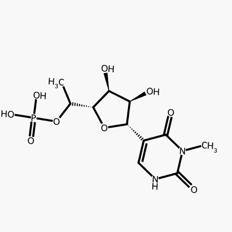 CC(OP(=O)(O)O)[C@H]1O[C@@H](c2c[nH]c(=O)n(C)c2=O)[C@H](O)[C@@H]1O